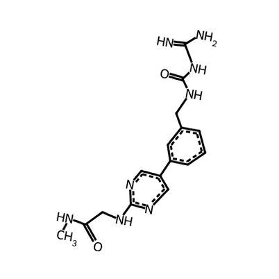 CNC(=O)CNc1ncc(-c2cccc(CNC(=O)NC(=N)N)c2)cn1